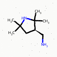 CC1(C)C[C@H](CN)C(C)(C)N1